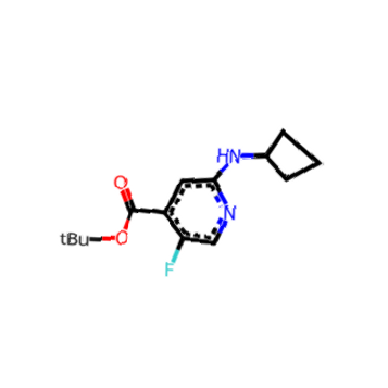 CC(C)(C)OC(=O)c1cc(NC2CCC2)ncc1F